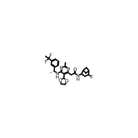 Cc1nc(CC(=O)NC2CC(F)C3CC2C3)c(C2OCCO2)c(N[C@H](C)c2cccc(C(C)(F)F)c2)n1